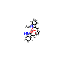 CC(=O)N1C(=O)C(=Cc2ccc(C=C3C(=O)Nc4ccccc43)o2)c2ccccc21